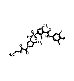 CCNC(=O)C(=O)N1CC(C)C(NS(=O)(=O)c2cn(C)c(C(=O)Nc3cc(F)c(F)c(F)c3)c2F)C1